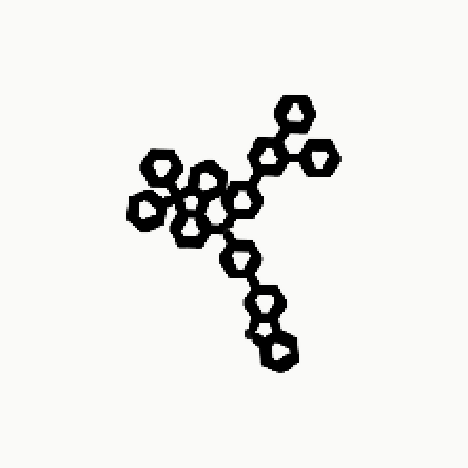 c1ccc(-c2ccc(-c3ccc(N(c4ccc(-c5ccc6c(c5)oc5ccccc56)cc4)c4cccc5c4-c4ccccc4C5(c4ccccc4)c4ccccc4)cc3)cc2-c2ccccc2)cc1